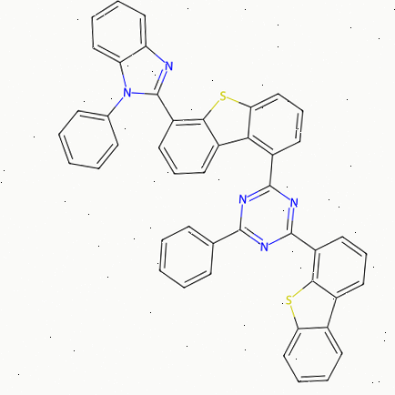 c1ccc(-c2nc(-c3cccc4c3sc3ccccc34)nc(-c3cccc4sc5c(-c6nc7ccccc7n6-c6ccccc6)cccc5c34)n2)cc1